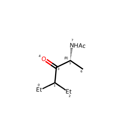 CCC(CC)C(=O)[C@@H](C)NC(C)=O